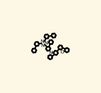 c1ccc(-c2cccc(-c3nc(-c4cccc(-c5ccccc5)c4)nc(-c4ccc(-n5c6ccccc6c6ccc(-c7cccc8c7oc7ccccc78)cc65)cc4-c4ccccc4)n3)c2)cc1